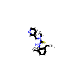 CCc1cccc(CC)c1NC(=S)N(CC)Cc1cccnc1